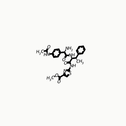 COC(=O)c1csc(NC(=O)[C@@H](NC(=O)[C@H](N)c2ccc(NC(C)=O)cc2)[C@@H](C)c2ccccc2)n1